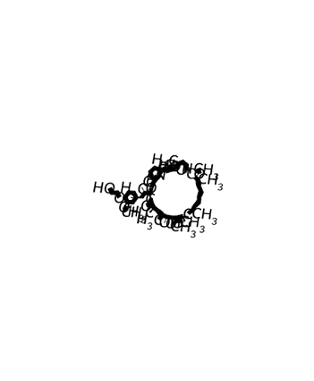 CO[C@H]1C[C@H]2CC[C@H](C)[C@](O)(O2)C(=O)C(=O)N2CCCC[C@H]2C(=O)O[C@H]([C@@H](C)C[C@@H]2CC[C@@H](OCCO)[C@H](OC)C2)CC(=O)[C@H](C)/C=C(\C)[C@@H](O)[C@@H](OC)C(=O)[C@H](C)C[C@H](C)/C=C/C=C/C=C/1C